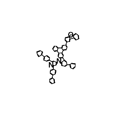 c1ccc(-c2ccc(-c3cc(-n4c5ccc(-c6ccccc6)cc5c5cc6c7ccc(-c8ccc9oc%10ccccc%10c9c8)cc7c7ccccc7c6cc54)cc(-c4ccc(-c5ccccc5)cc4)n3)cc2)cc1